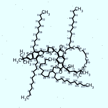 CCCCCCCCCCCCc1c2cc(C(C)(C)C)sc2c(CCCCCCCCCCCC)c2cc(-c3ccc(C4=c5cc6c7cc5N(CC(CCCCCCCCCCCC)CCCCCCCCCC(C)(C)/C=C/C=C(\S)C=7C(=O)N6CC(CCCCCCCCCC)CCCCCCCCCCCC)C4=O)s3)sc12